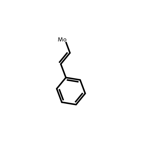 [Mo][CH]=Cc1ccccc1